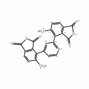 O=C1OC(=O)c2c1ccc(C(=O)O)c2-c1ccnc(-c2c(C(=O)O)ccc3c2C(=O)OC3=O)n1